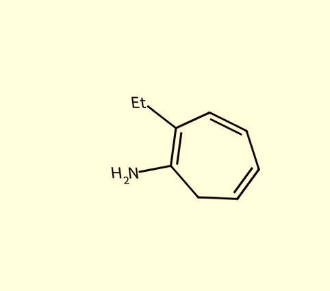 CCC1=C(N)CC=CC=C1